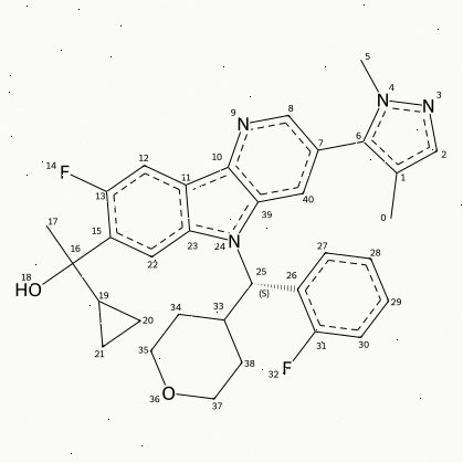 Cc1cnn(C)c1-c1cnc2c3cc(F)c(C(C)(O)C4CC4)cc3n([C@H](c3ccccc3F)C3CCOCC3)c2c1